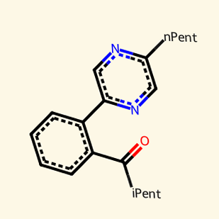 CCCCCc1cnc(-c2ccccc2C(=O)C(C)CCC)cn1